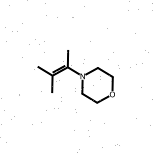 CC(C)=C(C)N1CCOCC1